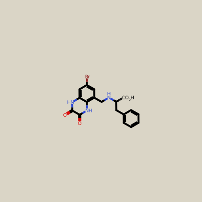 O=C(O)C(Cc1ccccc1)NCc1cc(Br)cc2[nH]c(=O)c(=O)[nH]c12